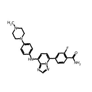 CN1CCN(c2ccc(Nc3ccc(-c4ccc(C(N)=O)c(F)c4)n4ncnc34)cc2)CC1